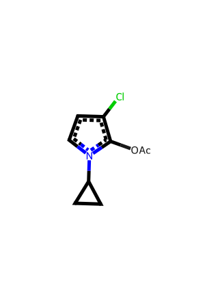 CC(=O)Oc1c(Cl)ccn1C1CC1